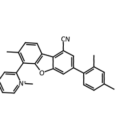 Cc1ccc(-c2cc(C#N)c3c(c2)oc2c(-c4cccc[n+]4C)c(C)ccc23)c(C)c1